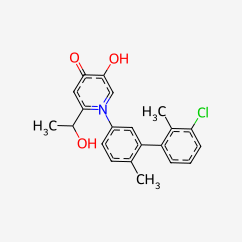 Cc1ccc(-n2cc(O)c(=O)cc2C(C)O)cc1-c1cccc(Cl)c1C